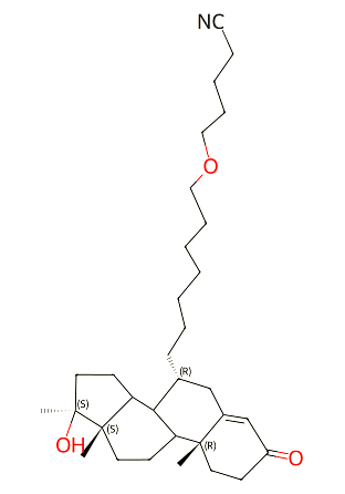 C[C@]12CCC(=O)C=C1C[C@@H](CCCCCCCOCCCCC#N)C1C2CC[C@@]2(C)C1CC[C@]2(C)O